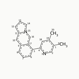 Cc1cnc(-c2cccc3cc4cccn4cc23)cc1C